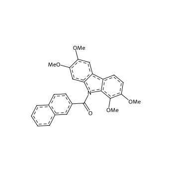 COc1cc2c3ccc(OC)c(OC)c3n(C(=O)c3ccc4ccccc4c3)c2cc1OC